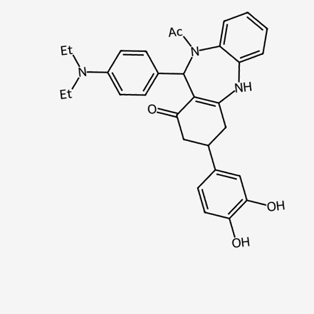 CCN(CC)c1ccc(C2C3=C(CC(c4ccc(O)c(O)c4)CC3=O)Nc3ccccc3N2C(C)=O)cc1